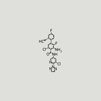 C#Cc1cc(F)ccc1-c1cc(Cl)c(C(=O)Nc2cnc(-n3nccn3)c(Cl)c2)c(N)c1F